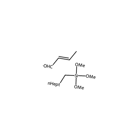 CC=C[C]=O.CCCCCCCC[Si](OC)(OC)OC